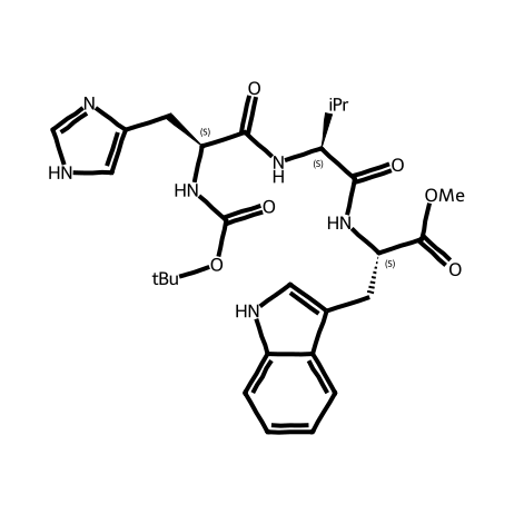 COC(=O)[C@H](Cc1c[nH]c2ccccc12)NC(=O)[C@@H](NC(=O)[C@H](Cc1c[nH]cn1)NC(=O)OC(C)(C)C)C(C)C